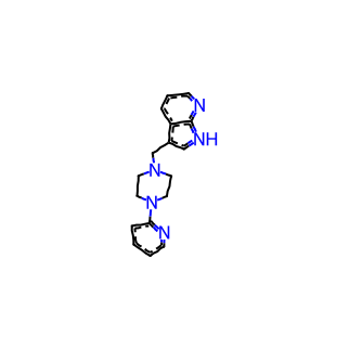 c1ccc(N2CCN(Cc3c[nH]c4ncccc34)CC2)nc1